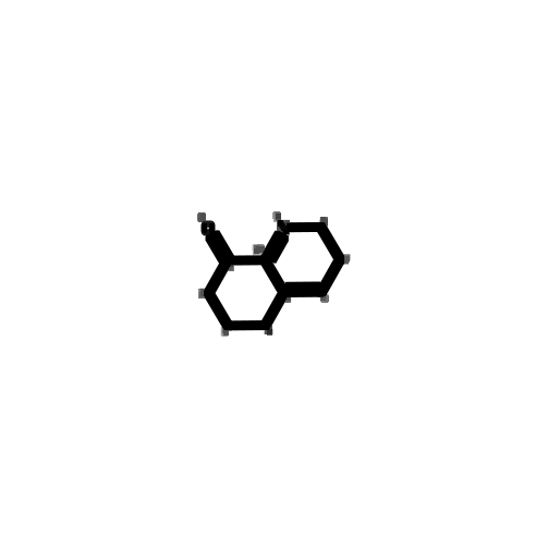 O=C1CCCC2=CCCN=C12